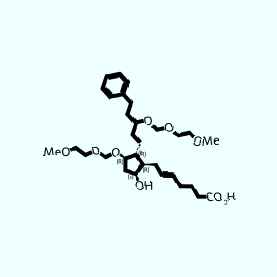 COCCOCOC(CCc1ccccc1)CC[C@@H]1[C@@H](CC=CCCCC(=O)O)[C@@H](O)C[C@H]1OCOCCOC